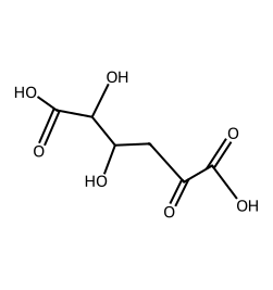 O=C(O)C(=O)CC(O)C(O)C(=O)O